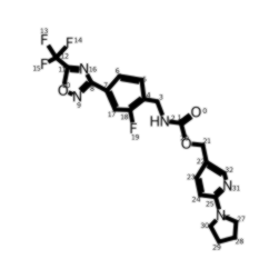 O=C(NCc1ccc(-c2noc(C(F)(F)F)n2)cc1F)OCc1ccc(N2CCCC2)nc1